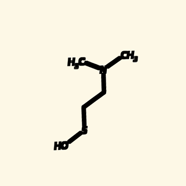 CN(C)CCSO